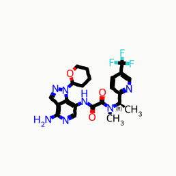 C[C@H](c1ccc(C(F)(F)F)cn1)N(C)C(=O)C(=O)Nc1cnc(N)c2cnn(C3CCCCO3)c12